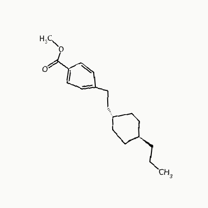 CCC[C@H]1CC[C@H](CCc2ccc(C(=O)OC)cc2)CC1